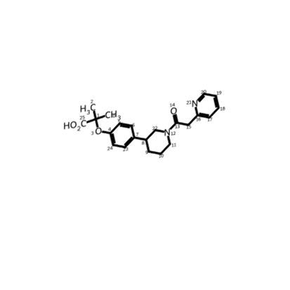 CC(C)(Oc1ccc(C2CCCN(C(=O)Cc3ccccn3)C2)cc1)C(=O)O